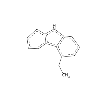 CCc1cc[c]c2[nH]c3ccccc3c12